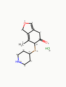 CC1=C2COC=C2CC(=O)C1SC1CCNCC1.Cl